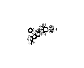 [2H]C([2H])([2H])c1cc2cnc(NC3C([2H])([2H])CN(S(=O)(=O)C([2H])([2H])[2H])CC3([2H])[2H])nc2n([C@@H]2CCC[C@@]2(C)O)c1=O